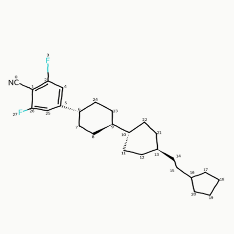 N#Cc1c(F)cc([C@H]2CC[C@H]([C@H]3CC[C@H](CCC4CCCC4)CC3)CC2)cc1F